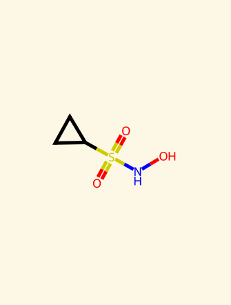 O=S(=O)(NO)C1CC1